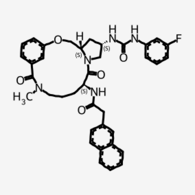 CN1CCC[C@H](NC(=O)Cc2ccc3ccccc3c2)C(=O)N2C[C@@H](NC(=O)Nc3cccc(F)c3)C[C@H]2COc2cccc(c2)C1=O